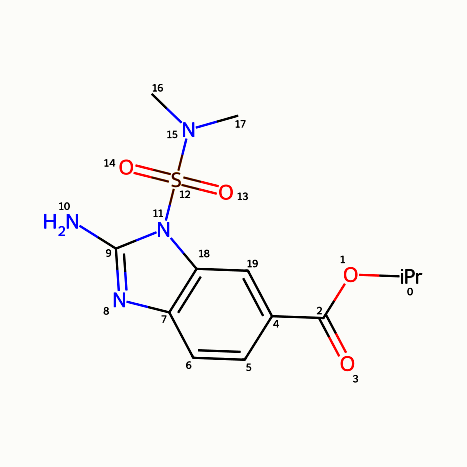 CC(C)OC(=O)c1ccc2nc(N)n(S(=O)(=O)N(C)C)c2c1